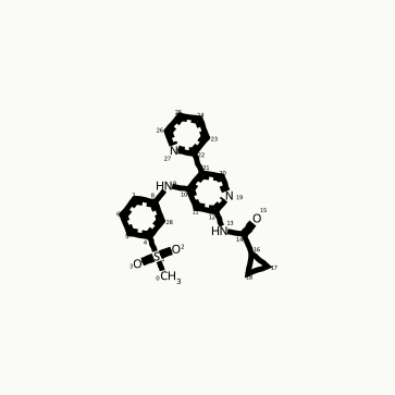 CS(=O)(=O)c1cccc(Nc2cc(NC(=O)C3CC3)ncc2-c2ccccn2)c1